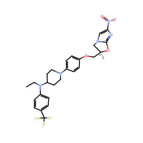 CCN(c1ccc(C(F)(F)F)cc1)C1CCN(c2ccc(OC[C@@]3(C)Cn4cc([N+](=O)[O-])nc4O3)cc2)CC1